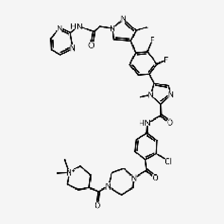 Cc1nn(CC(=O)Nc2ncccn2)cc1-c1ccc(-c2cnc(C(=O)Nc3ccc(C(=O)N4CCN(C(=O)C5CC[N+](C)(C)CC5)CC4)c(Cl)c3)n2C)c(F)c1F